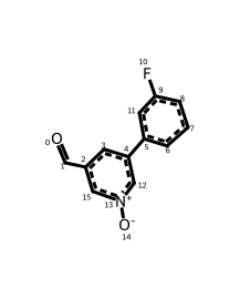 O=Cc1cc(-c2cccc(F)c2)c[n+]([O-])c1